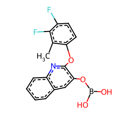 Cc1c(Oc2nc3ccccc3cc2OB(O)O)ccc(F)c1F